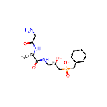 C[C@H](NC(=O)CN)C(=O)NC[C@@H](O)CP(=O)(O)CC1CCCCC1